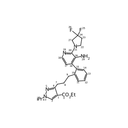 CCOC(=O)c1cn(C(C)C)nc1CCCc1ccccc1-c1ccnc(N2CCC(F)(F)C2)c1N